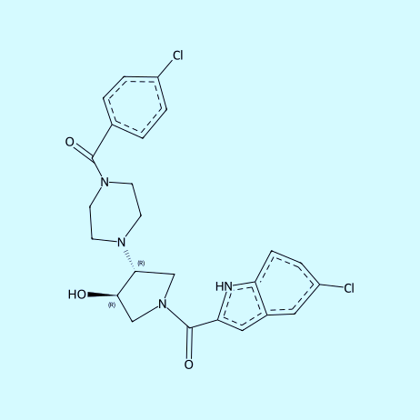 O=C(c1ccc(Cl)cc1)N1CCN([C@@H]2CN(C(=O)c3cc4cc(Cl)ccc4[nH]3)C[C@H]2O)CC1